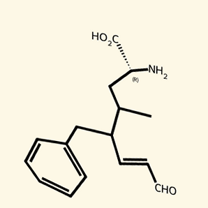 CC(C[C@@H](N)C(=O)O)C(C=CC=O)Cc1ccccc1